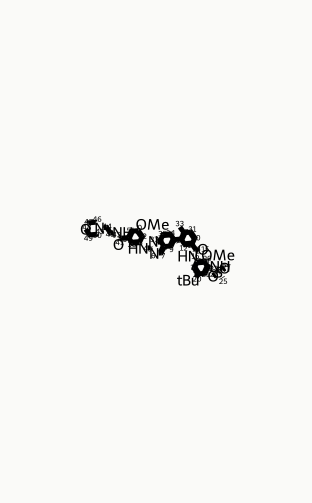 COc1cc(Nc2ncc3cc(-c4cc(C(=O)Nc5cc(C(C)(C)C)cc(NS(C)(=O)=O)c5OC)ccc4C)ccc3n2)cc(C(=O)NCCN2CCOCC2)c1